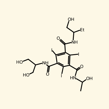 CCC(CO)NC(=O)c1c(I)c(C(=O)NC(C)O)c(I)c(C(=O)NC(CO)CO)c1I